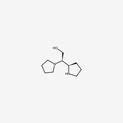 OC[C@@H]([C@H]1CCCN1)N1CCCC1